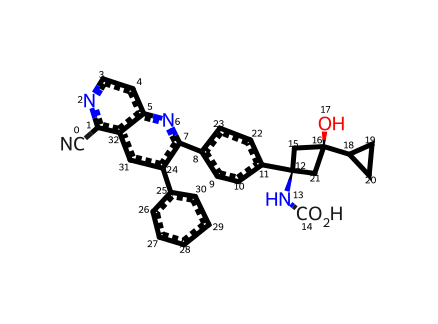 N#Cc1nccc2nc(-c3ccc([C@]4(NC(=O)O)C[C@](O)(C5CC5)C4)cc3)c(-c3ccccc3)cc12